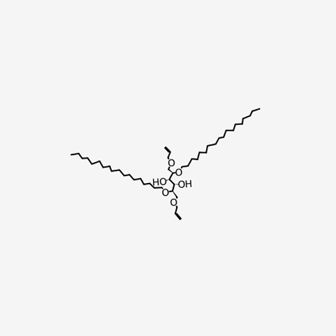 C=CCOC[C@@H](OCCCCCCCCCCCCCCCCCC)[C@@H](O)[C@H](O)[C@@H](COCC=C)OCCCCCCCCCCCCCCCCCC